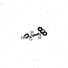 O=C(NCCCCNc1c2c(nc3ccccc13)CCCC2)[C@@H]1CCCNC1